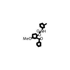 COc1ccc(OC(=O)Nc2cccc(C)c2)c(C(=O)c2ccccc2)c1